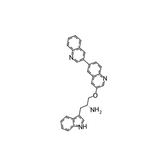 N[C@@H](COc1cnc2ccc(-c3cnc4ccccc4c3)cc2c1)Cc1c[nH]c2ccccc12